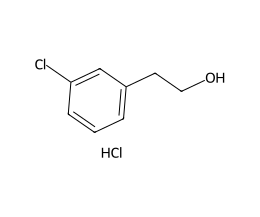 Cl.OCCc1cccc(Cl)c1